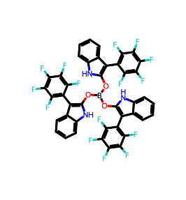 Fc1c(F)c(F)c(-c2c(OB(Oc3[nH]c4ccccc4c3-c3c(F)c(F)c(F)c(F)c3F)Oc3[nH]c4ccccc4c3-c3c(F)c(F)c(F)c(F)c3F)[nH]c3ccccc23)c(F)c1F